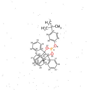 CC(C)(C)c1ccc(OP2OC(c3ccccc3)(c3ccccc3)C(c3ccccc3)(c3ccccc3)O2)cc1